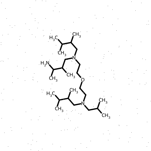 CC(C)CN(CCOCCN(CC(C)C(C)C)CC(C)C(C)N)CC(C)C(C)C